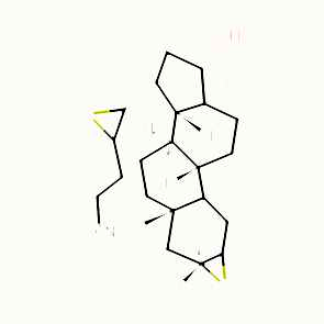 C[C@]12CC3S[C@@H]3C[C@@H]1CC[C@@H]1[C@@H]2CC[C@]2(C)[C@@H](O)CC[C@@H]12.N#CCCC1CS1